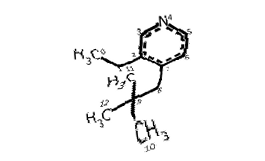 CCc1cnccc1CC(C)(C)C